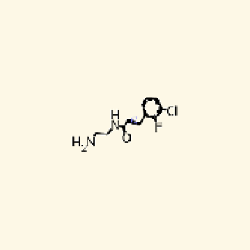 NCCNC(=O)/C=C/c1cccc(Cl)c1F